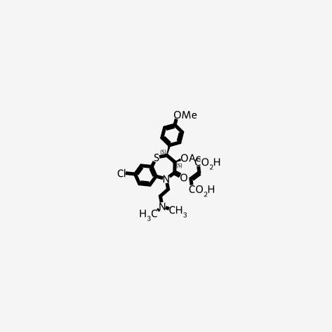 COc1ccc([C@@H]2Sc3cc(Cl)ccc3N(CCN(C)C)C(=O)[C@@H]2OC(C)=O)cc1.O=C(O)C=CC(=O)O